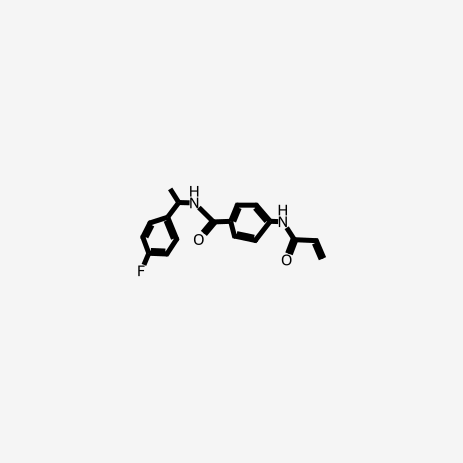 C=CC(=O)Nc1ccc(C(=O)NC(C)c2ccc(F)cc2)cc1